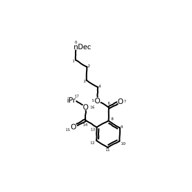 CCCCCCCCCCCCCCOC(=O)c1ccccc1C(=O)OC(C)C